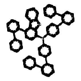 c1ccc(-c2ccccc2-c2ccc(N(c3ccc(-c4ccccc4-c4ccccc4)cc3)c3ccc(-c4ccccc4-c4ccccc4)c4c3oc3ccccc34)cc2)cc1